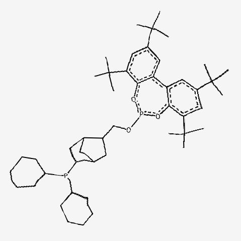 CC(C)(C)c1cc(C(C)(C)C)c2op(OCC3CC4CC3CC4P(C3CCCCC3)C3CCCCC3)oc3c(C(C)(C)C)cc(C(C)(C)C)cc3c2c1